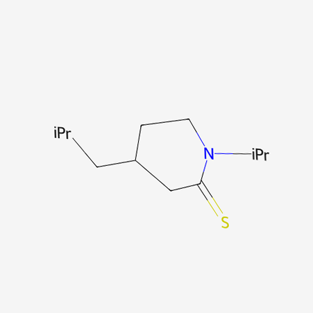 CC(C)CC1CCN(C(C)C)C(=S)C1